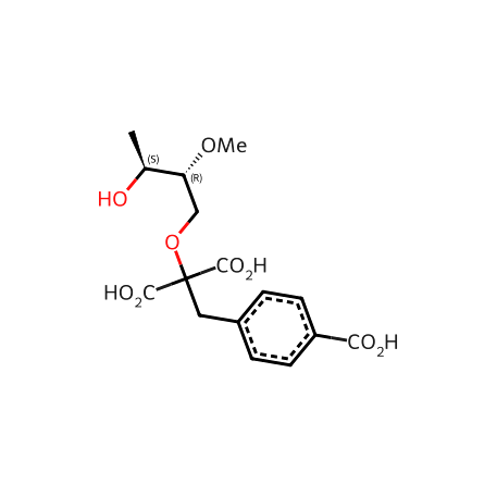 CO[C@H](COC(Cc1ccc(C(=O)O)cc1)(C(=O)O)C(=O)O)[C@H](C)O